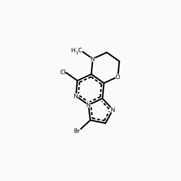 CN1CCOc2c1c(Cl)nn1c(Br)cnc21